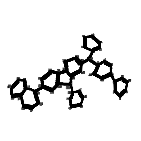 c1ccc(-c2ccc(N(c3ccccc3)c3ccc4c5ccc(-c6cccc7ccccc67)cc5n(-c5ccccc5)c4c3)cc2)cc1